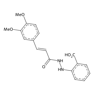 COc1ccc(/C=C/C(=O)NNc2ccccc2C(=O)O)cc1OC